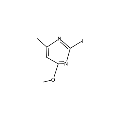 COc1cc(C)nc(I)n1